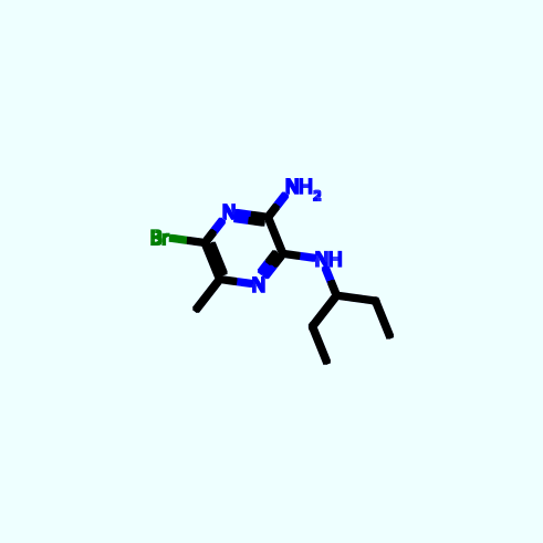 CCC(CC)Nc1nc(C)c(Br)nc1N